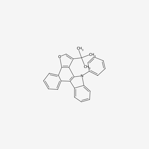 CC(C)(C)c1coc2c3ccccc3c3c4ccccc4n(-c4ccccc4)c3c12